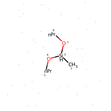 CCCO[SiH](C)OCCC